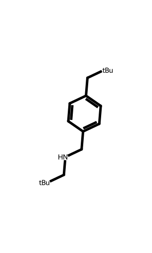 CC(C)(C)CNCc1ccc(CC(C)(C)C)cc1